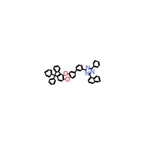 c1ccc(-c2nc(-c3cccc(-c4ccc5c(c4)Oc4c(ccc6c4-c4ccccc4C6(c4ccccc4)c4ccccc4)O5)c3)nc(-c3cccc4ccccc34)n2)cc1